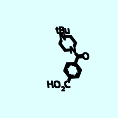 CC(C)(C)N1CCN(C(=O)c2ccc(C(=O)O)cc2)CC1